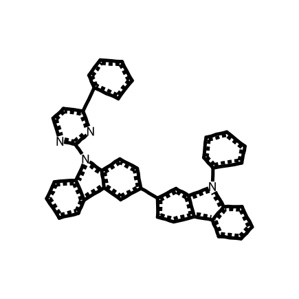 c1ccc(-c2ccnc(-n3c4ccccc4c4cc(-c5ccc6c7ccccc7n(-c7ccccc7)c6c5)ccc43)n2)cc1